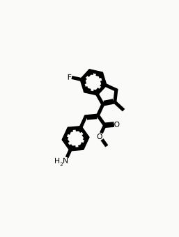 COC(=O)C(=Cc1ccc(N)cc1)C1=C(C)Cc2ccc(F)cc21